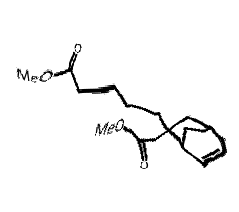 COC(=O)CCCCC1(C(=O)OC)CC2C=CC1C2